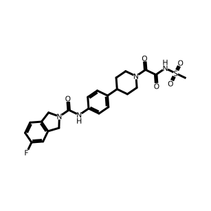 CS(=O)(=O)NC(=O)C(=O)N1CCC(c2ccc(NC(=O)N3Cc4ccc(F)cc4C3)cc2)CC1